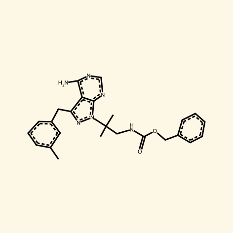 Cc1cccc(Cc2nn(C(C)(C)CNC(=O)OCc3ccccc3)c3ncnc(N)c23)c1